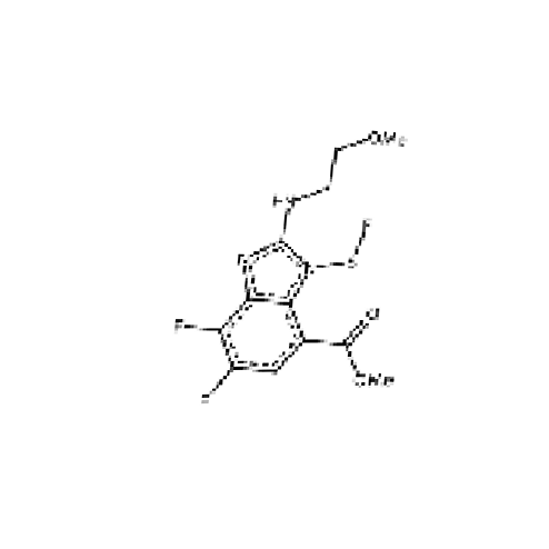 COCCNc1nc2c(F)c(F)cc(C(=O)OC)c2n1SF